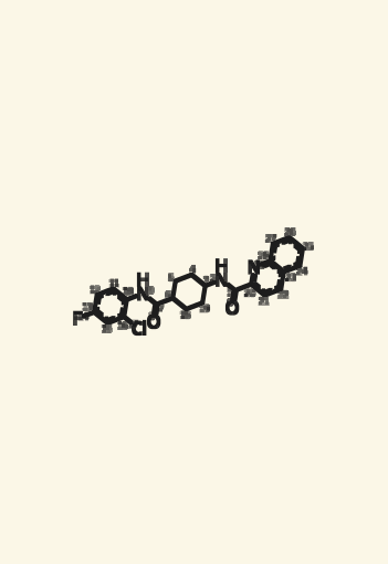 O=C(NC1CCC(C(=O)Nc2ccc(F)cc2Cl)CC1)c1ccc2ccccc2n1